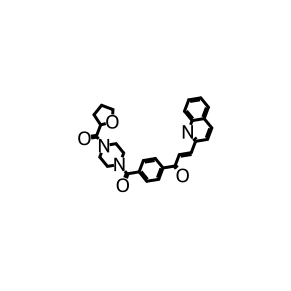 O=C(C=Cc1ccc2ccccc2n1)c1ccc(C(=O)N2CCN(C(=O)C3CCCO3)CC2)cc1